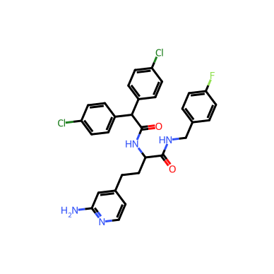 Nc1cc(CCC(NC(=O)C(c2ccc(Cl)cc2)c2ccc(Cl)cc2)C(=O)NCc2ccc(F)cc2)ccn1